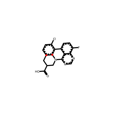 O=C(O)C1CCCN(c2ncnc3c(F)ccc(-c4ccccc4Cl)c23)C1